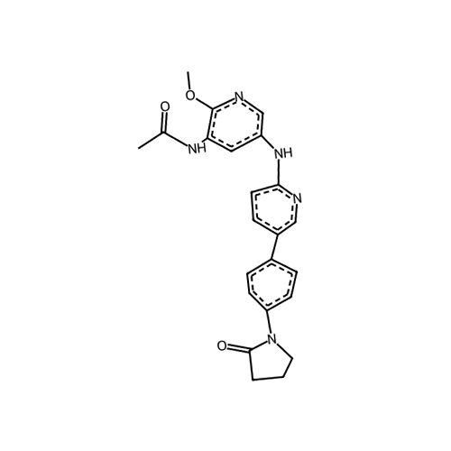 COc1ncc(Nc2ccc(-c3ccc(N4CCCC4=O)cc3)cn2)cc1NC(C)=O